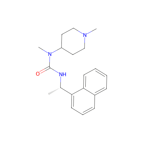 C[C@H](NC(=O)N(C)C1CCN(C)CC1)c1cccc2ccccc12